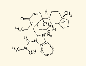 CCN1C(=O)C=C[C@]2(C)[C@H]3CC[C@]4(C)CCC[C@H]4[C@@H]3CCC12CC1N(C)c2ccccc2N1C(=O)N(C)O